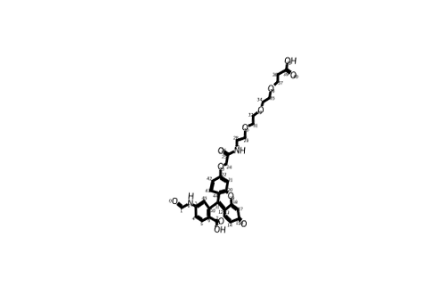 O=CNc1ccc(C(=O)O)c(-c2c3ccc(=O)cc-3oc3cc(OCC(=O)NCCOCCOCCOCCC(=O)O)ccc23)c1